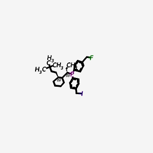 CC[C@@H](C1CCCC[C@H]1CCC(C)(C)C)P(c1ccc(CF)cc1)c1ccc(CI)cc1